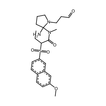 CCC(C(=O)N(C)C1(N)CCCN1CCC=O)S(=O)(=O)c1ccc2ccc(OC)cc2c1